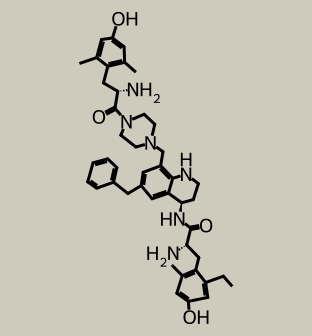 CCc1cc(O)cc(C)c1C[C@H](N)C(=O)N[C@@H]1CCNc2c(CN3CCN(C(=O)[C@@H](N)Cc4c(C)cc(O)cc4C)CC3)cc(Cc3ccccc3)cc21